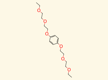 CCOCCOCCOc1ccc(OCCOCCOCC)cc1